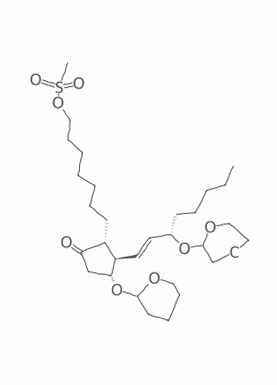 CCCCC[C@@H](/C=C/[C@H]1[C@H](OC2CCCCO2)CC(=O)[C@@H]1CCCCCCCOS(C)(=O)=O)OC1CCCCO1